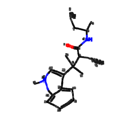 CNC(C(=O)NC(C)CC(C)(C)C)C(C)(C)c1cn(C)c2ccccc12